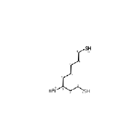 CCCC(CCS)CCCCCS